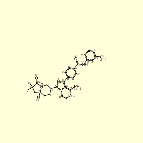 CC1(C)C[C@H]2CC[C@H](c3nc(-c4ccc(C(=O)Nc5cc(C(F)(F)F)ccn5)cc4)c4c(N)nccn34)CN2C1=O